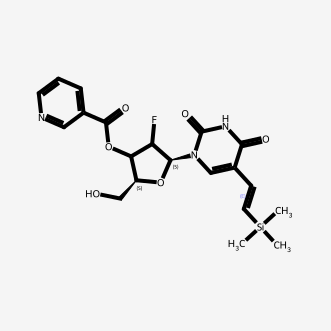 C[Si](C)(C)/C=C/c1cn([C@H]2O[C@@H](CO)C(OC(=O)c3cccnc3)C2F)c(=O)[nH]c1=O